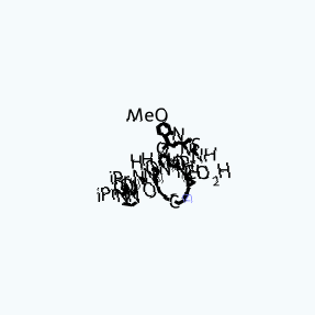 COc1ccc2c(O[C@@H]3C[C@H]4C(=O)N[C@]5(C(=O)O)CC5/C=C\CCCCC[C@H](NC(=O)N[C@H](CN5CCCN(C(C)C)S5(=O)=O)C(C)C)C(=O)N4C3)cc(-c3csc(NC(C)C)n3)nc2c1